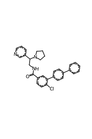 O=C(NCC(c1cccnc1)N1CCCC1)c1ccc(Cl)c(-c2ccc(-c3ccccc3)cc2)c1